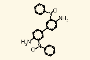 Nc1ccc(-c2ccc(N)c(N(Cl)c3ccccc3)c2)cc1N(Cl)c1ccccc1